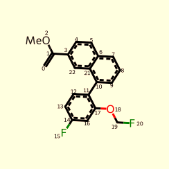 C=C(OC)c1ccc2cccc(-c3ccc(F)cc3OCF)c2c1